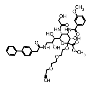 C#CCOCCOCCO[C@@]1(C(=O)OC)O[C@@H]([C@H](O)[C@H](O)CNC(=O)Cc2ccc(-c3ccccc3)cc2)[C@H](NC(=O)CO)[C@@H](NC(=O)c2cccc(OC)c2)[C@@H]1O